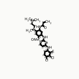 C=CC(=O)Nc1cc(Nc2nccc(Nc3ccc(Cl)c(Cl)c3F)n2)c(OC)cc1N(C)CCN(C)C